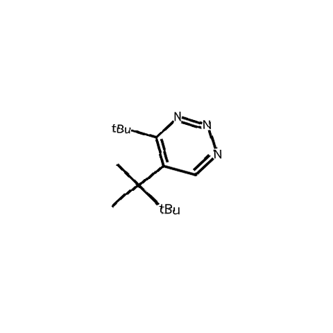 CC(C)(C)c1nnncc1C(C)(C)C(C)(C)C